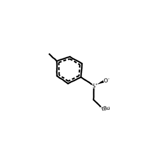 Cc1ccc([S@@+]([O-])CC(C)(C)C)cc1